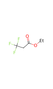 [CH2]COC(=O)CC(F)(F)F